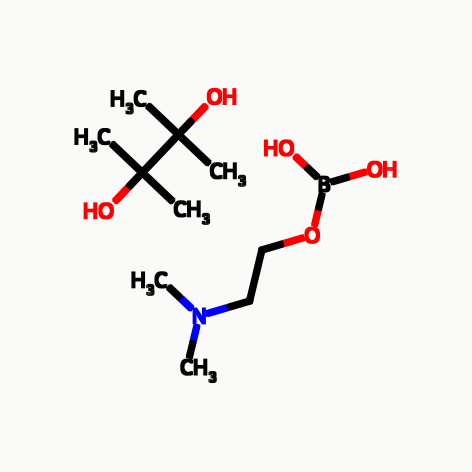 CC(C)(O)C(C)(C)O.CN(C)CCOB(O)O